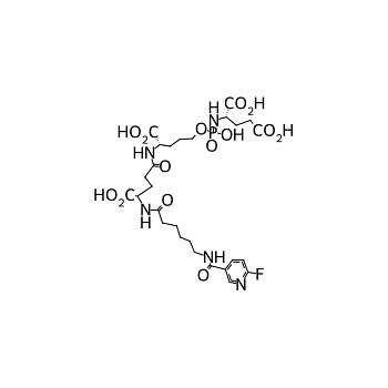 O=C(O)CC[C@H](NP(=O)(O)OCCC[C@H](NC(=O)CC[C@H](NC(=O)CCCCCNC(=O)c1ccc(F)nc1)C(=O)O)C(=O)O)C(=O)O